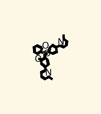 Cc1cccc(-c2ccc3c(c2)Oc2cccc4c2P3(=O)c2ccc(-c3cccc(C)n3)cc2O4)n1